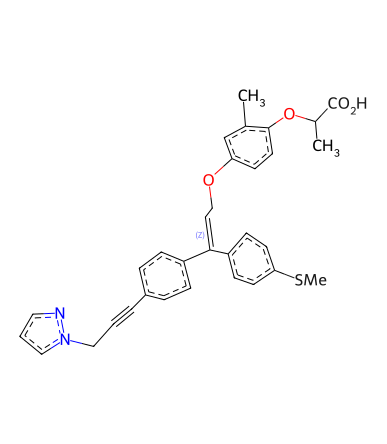 CSc1ccc(/C(=C\COc2ccc(OC(C)C(=O)O)c(C)c2)c2ccc(C#CCn3cccn3)cc2)cc1